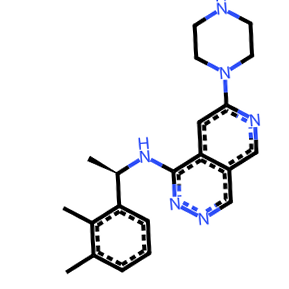 Cc1cccc([C@@H](C)Nc2nncc3cnc(N4CCNCC4)cc23)c1C